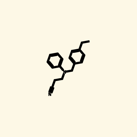 CCc1ccc(CN(CCC#N)c2ccccc2)cc1